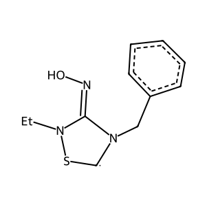 CCN1S[CH]N(Cc2ccccc2)C1=NO